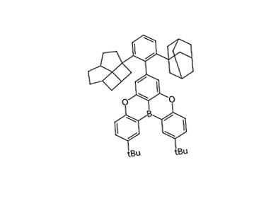 CC(C)(C)c1ccc2c(c1)B1c3cc(C(C)(C)C)ccc3Oc3cc(-c4c(C56CC7CC(CC(C7)C5)C6)cccc4C45CCC6CCC7CC(C4)C675)cc(c31)O2